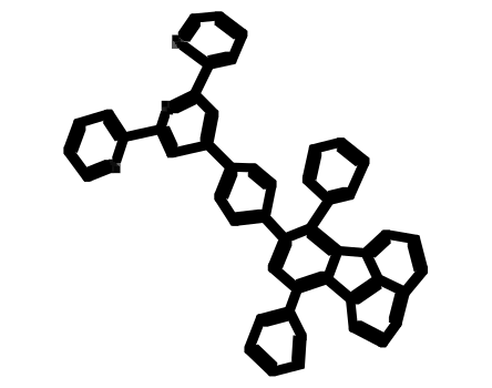 c1ccc(-c2cc(-c3ccc(-c4cc(-c5ccccn5)nc(-c5ccccn5)c4)cc3)c(-c3ccccc3)c3c2-c2cccc4cccc-3c24)cc1